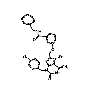 C=C1NC(=O)N(Cc2ccc(Cl)cc2)c2nc(COc3cccc(C(=O)NCc4ccccc4)c3)n(CC)c21